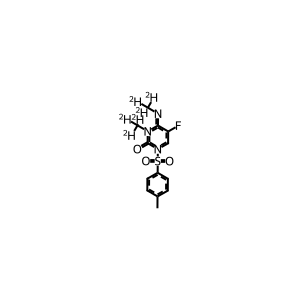 [2H]C([2H])([2H])/N=c1/c(F)cn(S(=O)(=O)c2ccc(C)cc2)c(=O)n1C([2H])([2H])[2H]